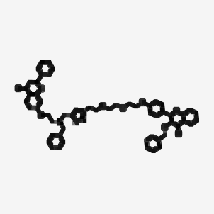 O=c1cc(-c2ccccc2)oc2cc(OCCN(Cc3ccccc3)Cc3cn(CCOCCOCCOc4ccc(-c5oc6ccccc6c(=O)c5OCc5ccccc5)cc4)nn3)ccc12